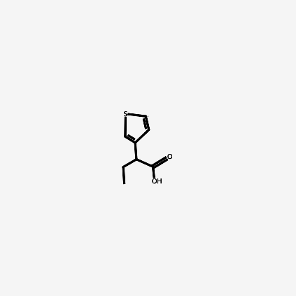 CCC(C(=O)O)c1c[c]sc1